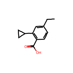 CCc1ccc(C(=O)O)c(C2CC2)c1